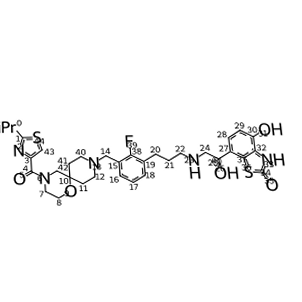 CC(C)c1nc(C(=O)N2CCOC3(CCN(Cc4cccc(CCCNC[C@H](O)c5ccc(O)c6[nH]c(=O)sc56)c4F)CC3)C2)cs1